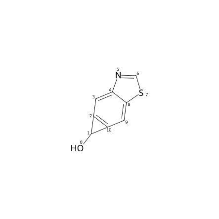 OC1c2cc3ncsc3cc21